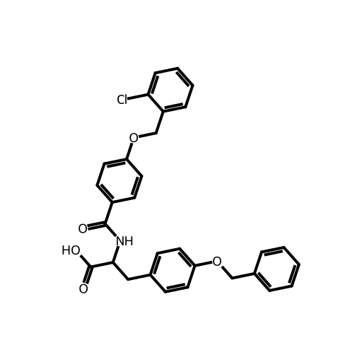 O=C(NC(Cc1ccc(OCc2ccccc2)cc1)C(=O)O)c1ccc(OCc2ccccc2Cl)cc1